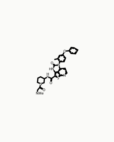 CNCC(=O)N1CCCC(NC(=O)c2sc3nccc4c3c2NC(=O)N4c2ccc(Oc3ccccc3)cc2C)C1